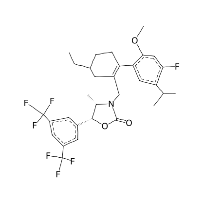 CCC1CCC(c2cc(C(C)C)c(F)cc2OC)=C(CN2C(=O)O[C@H](c3cc(C(F)(F)F)cc(C(F)(F)F)c3)[C@@H]2C)C1